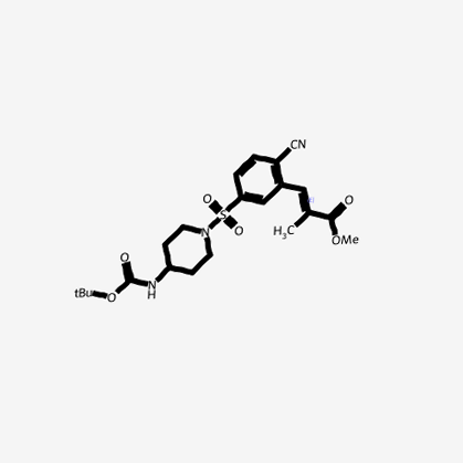 COC(=O)/C(C)=C/c1cc(S(=O)(=O)N2CCC(NC(=O)OC(C)(C)C)CC2)ccc1C#N